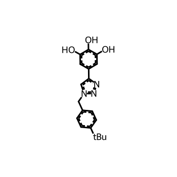 CC(C)(C)c1ccc(Cn2cc(-c3cc(O)c(O)c(O)c3)nn2)cc1